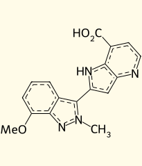 COc1cccc2c(-c3cc4nccc(C(=O)O)c4[nH]3)n(C)nc12